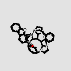 C1=CN2c3ccc4cc3CCc3ccc5c(oc6ccccc65)c3N3C=CN4C3C3C4c5ccccc5N5CCN(CCCN1C42)C35